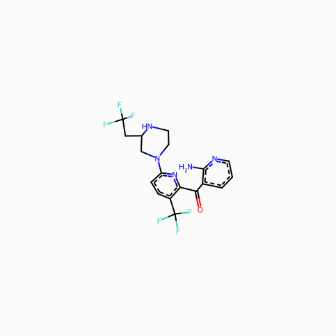 Nc1ncccc1C(=O)c1nc(N2CCNC(CC(F)(F)F)C2)ccc1C(F)(F)F